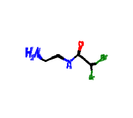 NCCNC(=O)C(Br)Br